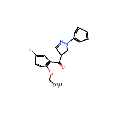 O=C(O)COc1ccc(Cl)cc1C(=O)C1C=NN(c2ccccc2)C1